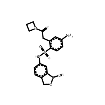 Nc1ccc(S(=O)(=O)Nc2ccc3c(c2)B(O)OC3)c(CC(=O)N2CCC2)c1